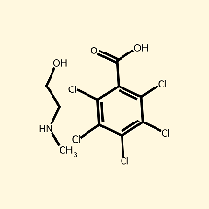 CNCCO.O=C(O)c1c(Cl)c(Cl)c(Cl)c(Cl)c1Cl